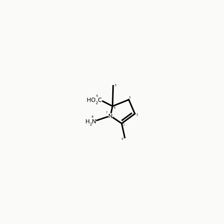 CC1=CCC(C)(C(=O)O)N1N